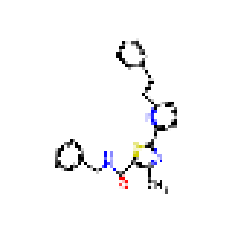 Cc1nc(-c2cccc(/C=C/c3ccccc3)n2)sc1C(=O)NCc1ccccc1